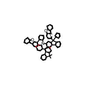 CC1(C)c2ccccc2-c2c(-c3ccccc3N(c3ccc4c(c3)C(c3ccccc3)(c3ccc5oc6ccccc6c5c3)c3ccccc3-4)c3ccccc3-c3cccc4c3oc3ccccc34)cccc21